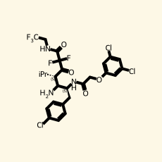 CC(C)[C@H](C(=O)C(F)(F)C(=O)NCC(F)(F)F)C(N)[C@H](Cc1ccc(Cl)cc1)NC(=O)COc1cc(Cl)cc(Cl)c1